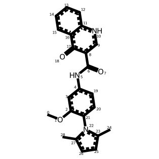 COc1cc(NC(=O)c2c[nH]c3ccccc3c2=O)ccc1-n1c(C)ccc1C